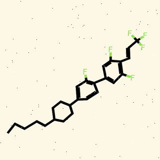 CCCCCC1CCC(c2ccc(-c3cc(F)c(/C=C/C(F)(F)F)c(F)c3)c(F)c2)CC1